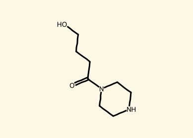 O=C(CCCO)N1CCNCC1